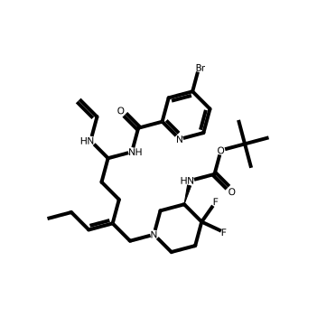 C=CNC(CC/C(=C\CC)CN1CCC(F)(F)[C@H](NC(=O)OC(C)(C)C)C1)NC(=O)c1cc(Br)ccn1